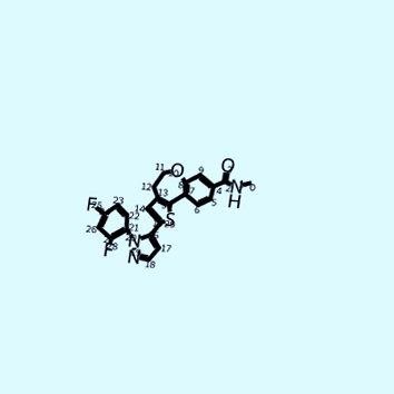 CNC(=O)c1ccc2c(c1)OCCc1cc(-c3ccnn3-c3ccc(F)cc3F)sc1-2